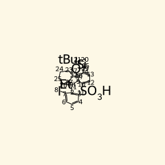 CC[C@@H](c1ccccc1I)C1C(S(=O)(=O)O)=CC=C(C)[C@]1(O[Si](C)(C)C(C)(C)C)C1CCCCC1